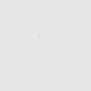 C=CC(=O)OCC(C)(C)C(=O)C(=O)N1CCCCC1C(=O)O[C@H](CCc1ccc(OC)c(OC)c1)c1cncc(NC(=O)CCC(=O)OC(C)(C)C)c1